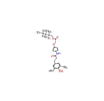 CCC(CC)(CC)C(CC)(CC)C(CC)(CC)COC(=O)COc1ccc(NC(=O)CCc2cc(C(C)(C)C)c(O)c(C(C)(C)C)c2)cc1